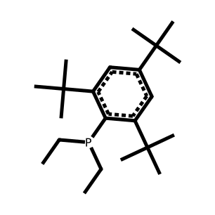 CCP(CC)c1c(C(C)(C)C)cc(C(C)(C)C)cc1C(C)(C)C